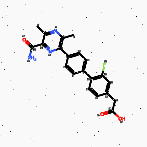 Cc1nc(C)c(-c2ccc(-c3ccc(CC(=O)O)cc3F)cc2)nc1C(N)=O